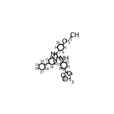 C#CCOc1ccc(-c2nc3cc(-c4ccccc4)ccn3c2Nc2ccc(C(=O)OC)cc2)cc1